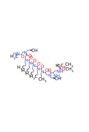 C#CCN(CC(=O)NC)C(=O)CN(CCC)C(=O)N(CCC)C(=O)N(CCC)C(=O)N(CCC)C(=O)N(CCC)C(=O)CN(CC#C)C(=O)C(N)CNC(=O)OC(C)(C)C